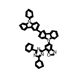 c1ccc(-c2nc(-c3ccccc3)nc(-c3cc(-n4c5ccccc5c5cc(-c6ccc7c(c6)c6ccccc6n7-c6ccccc6)ccc54)cc4ncoc34)n2)cc1